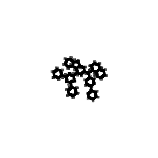 c1ccc(-c2ccc(N(c3cc(-c4nc(-c5ccccc5)nc(-c5ccccc5)n4)c4c(c3)oc3ccccc34)c3cccc4ccccc34)cc2)cc1